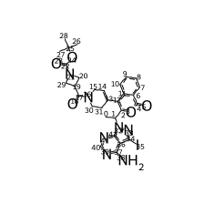 CC(c1oc(=O)c2ccccc2c1C1=CCN(C(=O)C2CN(C(=O)OC(C)(C)C)C2)CC1)n1nc(I)c2c(N)ncnc21